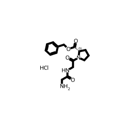 Cl.NCC(=O)NCC(=O)N1CCC[C@H]1C(=O)OCc1ccccc1